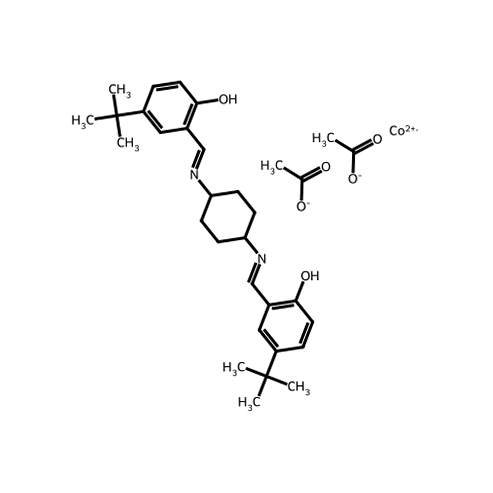 CC(=O)[O-].CC(=O)[O-].CC(C)(C)c1ccc(O)c(C=NC2CCC(N=Cc3cc(C(C)(C)C)ccc3O)CC2)c1.[Co+2]